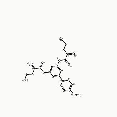 C=C(CCO)C(=O)Oc1cc(OC(=O)C(=C)CCO)cc(-c2ccc(CCCCC)cc2)c1